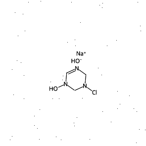 ON1C=NCN(Cl)C1.[Na+].[OH-]